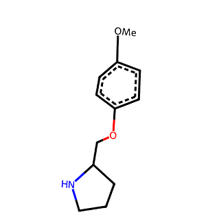 COc1ccc(OCC2CCCN2)cc1